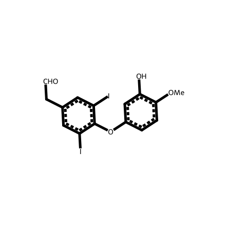 COc1ccc(Oc2c(I)cc(CC=O)cc2I)cc1O